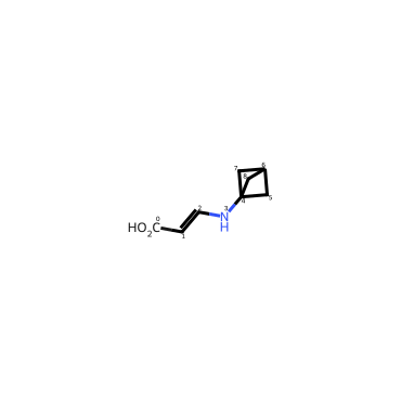 O=C(O)/C=C/NC12CC(C1)C2